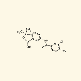 CC1(C)OB(O)c2cc(NC(=O)c3ccc(Cl)c(Cl)c3)ccc21